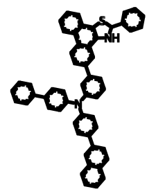 c1ccc(-c2ccc(N(c3ccc(-c4ccc5ccccc5c4)cc3)c3cccc(-c4ccc5c(c4)c4c(c6ccccc65)SC(c5ccccc5)N4)c3)cc2)cc1